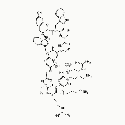 CC[C@H](C)[C@H](NC(=O)[C@H](Cc1c[nH]c2ccccc12)NC(=O)[C@H](CC(C)C)NC(=O)[C@H](CC(C)C)NC(=O)[C@H](Cc1c[nH]c2ccccc12)NC(=O)[C@@H](N)Cc1ccc(O)cc1)C(=O)NCC(=O)N[C@@H](CC(C)C)C(=O)N[C@@H](CCCNC(=N)N)C(=O)N[C@@H](CCCCN)C(=O)N[C@@H](CCCCN)C(=O)N[C@@H](CCCNC(=N)N)C(=O)O